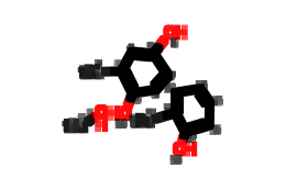 CC(C)(C)O.CC(C)(C)c1cc(O)ccc1O.CC(C)(C)c1ccccc1O